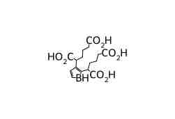 O=C(O)CCCC(C(=O)O)C1=C(C(CCCC(=O)O)C(=O)O)C=CB1